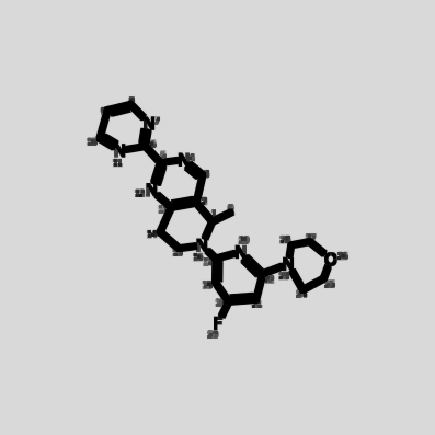 CC1c2cnc(-c3ncccn3)nc2CCN1c1cc(F)cc(N2CCOCC2)n1